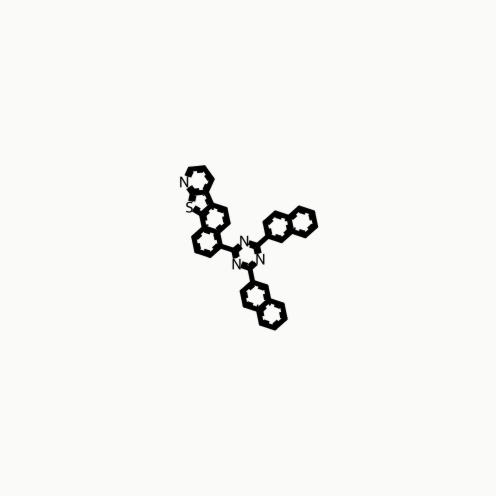 c1ccc2cc(-c3nc(-c4ccc5ccccc5c4)nc(-c4cccc5c4ccc4c6cccnc6sc54)n3)ccc2c1